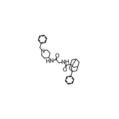 O=C(CNC(=O)C12CC3CC(C1)CC(c1ccccc1)(C3)C2)NC1CCN(Cc2ccccc2)CC1